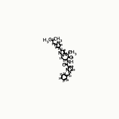 CC(C)Cn1cc(-c2cc3n(n2)CCC(NC(=O)c2ncn(Cc4ccccc4)n2)C(=O)N3C)cn1